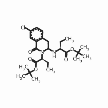 CC[C@H](NC1Cc2ccc(Cl)cc2C(=O)N1[C@@H](CC)C(=O)OC(C)(C)C)C(=O)OC(C)(C)C